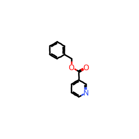 O=C(OCc1ccccc1)c1cccnc1